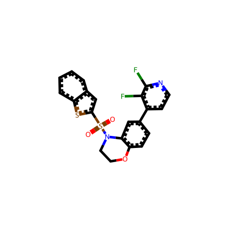 O=S(=O)(c1cc2ccccc2s1)N1CCOc2ccc(-c3ccnc(F)c3F)cc21